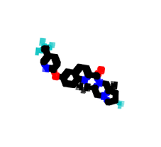 C[C@@H]1CN2C[C@@H](F)C[C@@H]2CN1C(=O)c1ccc2cc(Oc3ccc(C(F)(F)F)cn3)ccc2n1